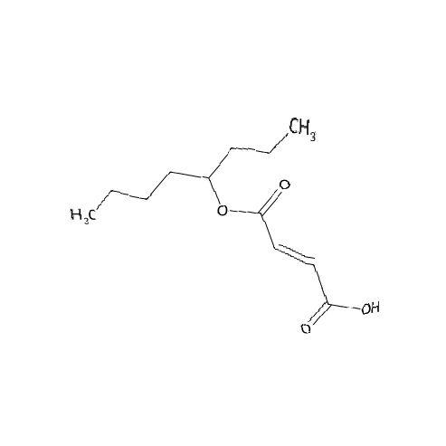 CCCCC(CCC)OC(=O)C=CC(=O)O